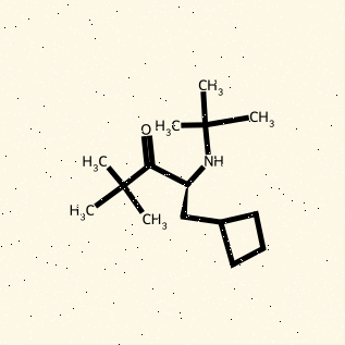 CC(C)(C)N[C@@H](CC1CCC1)C(=O)C(C)(C)C